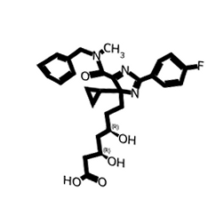 CN(Cc1ccccc1)C(=O)C1=NC(c2ccc(F)cc2)=NC1(CC[C@@H](O)C[C@@H](O)CC(=O)O)C1CC1